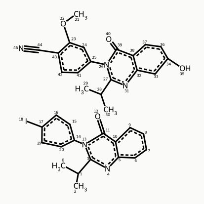 CC(C)c1nc2ccccc2c(=O)n1-c1ccc(I)cc1.COc1cc(-n2c(C(C)C)nc3cc(O)ccc3c2=O)ccc1C#N